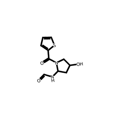 O=CNC1CC(O)CN1C(=O)c1cccs1